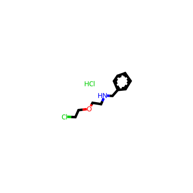 Cl.ClCCOCCNCc1ccccc1